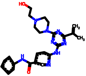 C=C(C)c1nc(Nc2ccc(C(=O)Nc3ccccc3)cn2)nc(N2CCN(CCO)CC2)n1